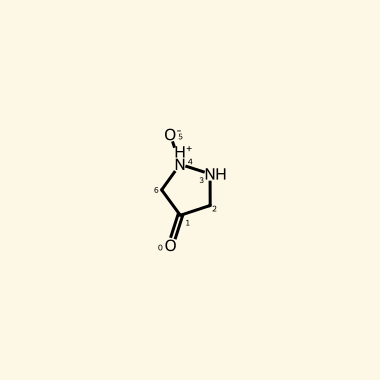 O=C1CN[NH+]([O-])C1